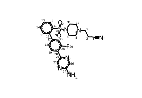 N#CCCN1CCN(S(=O)(=O)c2ccccc2-c2ccc(-c3cnc(N)cn3)c(F)c2)CC1